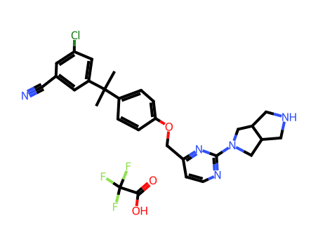 CC(C)(c1ccc(OCc2ccnc(N3CC4CNCC4C3)n2)cc1)c1cc(Cl)cc(C#N)c1.O=C(O)C(F)(F)F